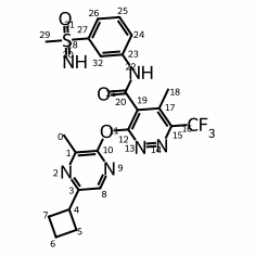 Cc1nc(C2CCC2)cnc1Oc1nnc(C(F)(F)F)c(C)c1C(=O)Nc1cccc(S(C)(=N)=O)c1